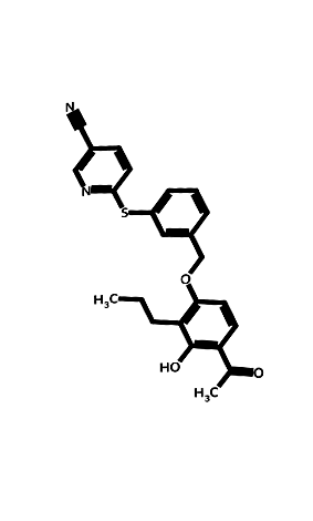 CCCc1c(OCc2cccc(Sc3ccc(C#N)cn3)c2)ccc(C(C)=O)c1O